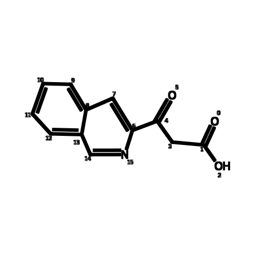 O=C(O)CC(=O)c1cc2ccccc2cn1